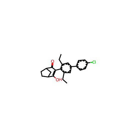 CCc1cc(-c2ccc(Cl)cc2)cc(CC)c1C1=C(O)C2CCC(C2)C1=O